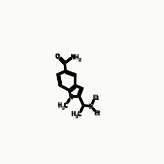 CCN(CC)C(C)c1cc2cc(C(N)=O)ccc2n1C